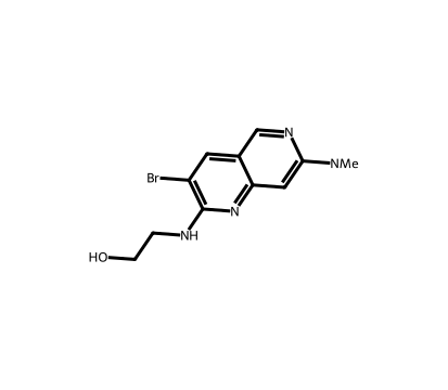 CNc1cc2nc(NCCO)c(Br)cc2cn1